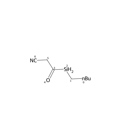 CCCCC[SiH2]C(=O)CC#N